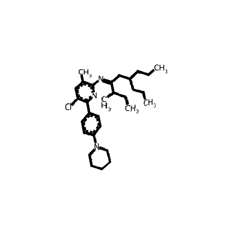 CCCC(CCC)C/C(=N/c1nc(-c2ccc(N3CCCCC3)cc2)c(Cl)cc1C)C(C)CC